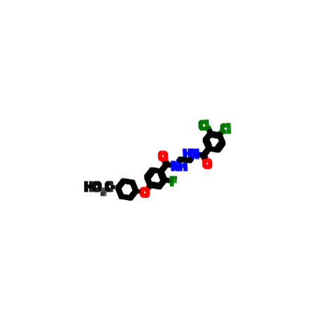 O=C(NCCNC(=O)c1ccc(O[C@H]2CC[C@@H](C(=O)O)CC2)cc1F)c1ccc(Cl)c(Cl)c1